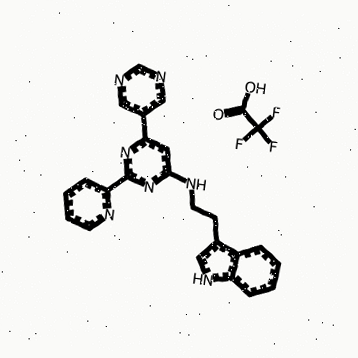 O=C(O)C(F)(F)F.c1ccc(-c2nc(NCCc3c[nH]c4ccccc34)cc(-c3cncnc3)n2)nc1